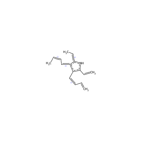 C=C/C=C\c1c(C=C)[nH]c(=C/C)/c1=C\C=C/C